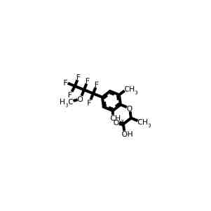 COC(F)(C(F)(F)F)C(F)(F)c1cc(C)c(OC(C)C(=O)O)c(C)c1